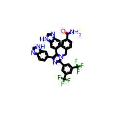 NC(=O)c1ccc(Cn2c(-c3cc(C(F)(F)F)cc(C(F)(F)F)c3)nc(-c3ccc4nc[nH]c4c3)c2-c2ccc3nc[nH]c3c2)cc1